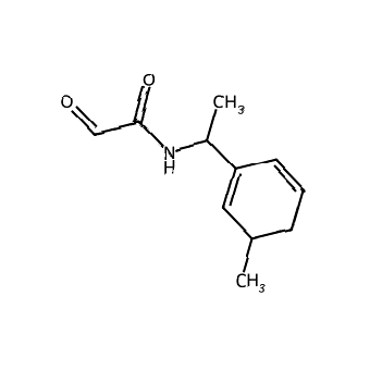 CC1C=C(C(C)NC(=O)C=O)C=CC1